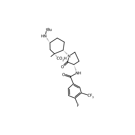 CC(C)(C)N[C@@H]1CC[C@H](N2CC[C@H](NC(=O)c3ccc(F)c(C(F)(F)F)c3)C2=O)[C@](C)(C(=O)O)C1